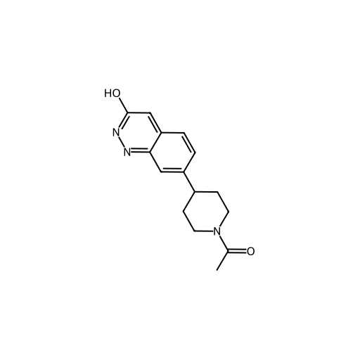 CC(=O)N1CCC(c2ccc3cc(O)nnc3c2)CC1